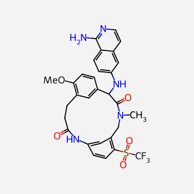 COc1ccc2cc1CCC(=O)Nc1ccc(S(=O)(=O)C(F)(F)F)c(c1)CN(C)C(=O)C2Nc1ccc2c(N)nccc2c1